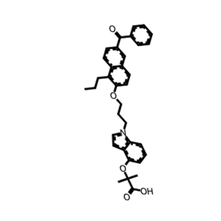 CCCc1c(OCCCn2ccc3c(OC(C)(C)C(=O)O)cccc32)ccc2cc(C(=O)c3ccccc3)ccc12